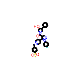 CS(=O)(=O)c1ccc(CN2CCC(c3c(C(=O)N4CC(O)C(c5ccccc5)C4)cnn3-c3ccc(F)cc3)CC2)cc1